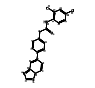 O=C(Cc1ccc(-c2ccn3ncnc3c2)cc1)Nc1ccc(Cl)cc1Cl